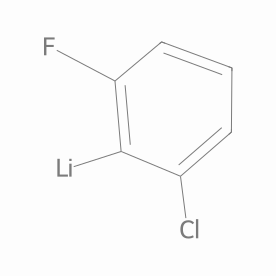 [Li][c]1c(F)cccc1Cl